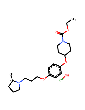 CCOC(=O)N1CCC(Oc2ccc(OCCCN3CCC[C@H]3C)cc2)CC1.OCl